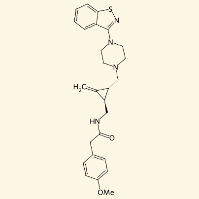 C=C1[C@H](CNC(=O)Cc2ccc(OC)cc2)[C@H]1CN1CCN(c2nsc3ccccc23)CC1